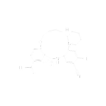 N#Cc1cc2c(cc1Cl)N1CCCC[C@@H]1CCCCOc1ccc(C(=O)O)cc1S(=O)(=O)N2